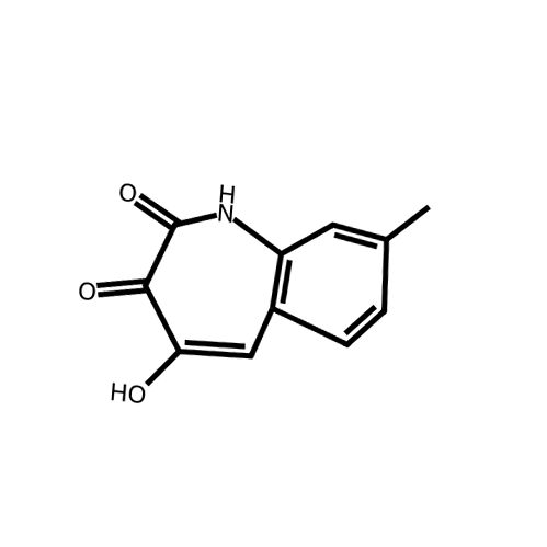 Cc1ccc2cc(O)c(=O)c(=O)[nH]c2c1